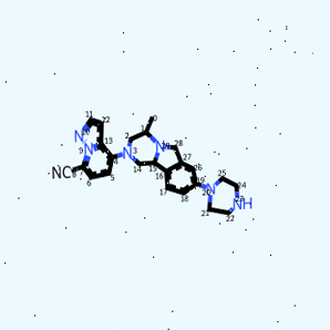 CC1CN(c2ccc(C#N)n3nccc23)CC2c3ccc(N4CCNCC4)cc3CN12